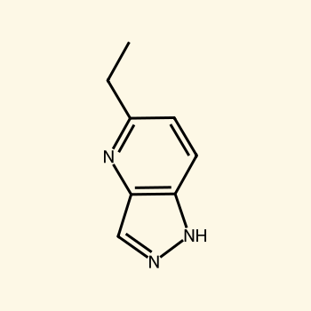 CCc1ccc2[nH]ncc2n1